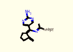 C=C1CCC/C1=C(/N=C(\C)CCCCCCC)c1cnc(N)nc1